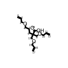 C=CCOCCCC(COCC=C)(COCC=C)C(=O)O